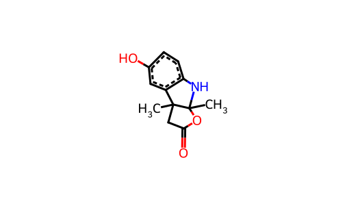 CC12Nc3ccc(O)cc3C1(C)CC(=O)O2